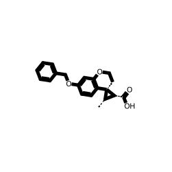 C[C@H]1[C@@H](C(=O)O)[C@@]12CCOc1cc(OCc3ccccc3)ccc12